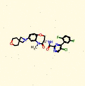 CN1C(=O)[C@@H](NC(=O)c2ncc(Cl)c(-c3cc(F)ccc3F)n2)COc2ccc(N3CC4(CCOCC4)C3)cc21